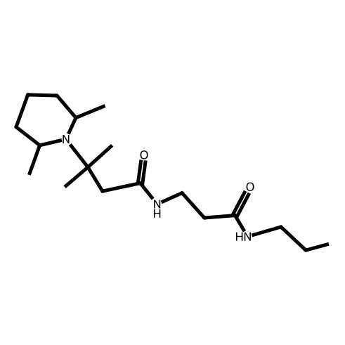 CCCNC(=O)CCNC(=O)CC(C)(C)N1C(C)CCCC1C